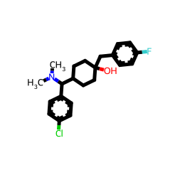 CN(C)C(c1ccc(Cl)cc1)C1CCC(O)(Cc2ccc(F)cc2)CC1